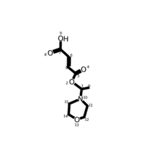 CC(OC(=O)C=CC(=O)O)N1CCOCC1